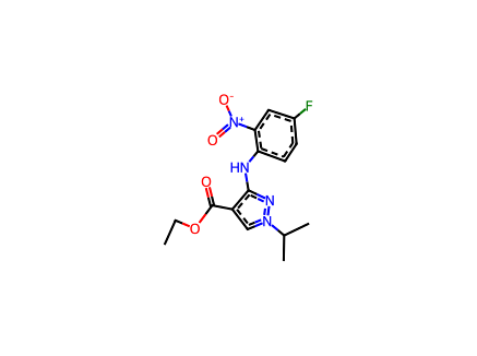 CCOC(=O)c1cn(C(C)C)nc1Nc1ccc(F)cc1[N+](=O)[O-]